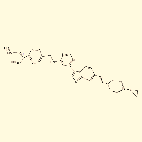 CN/C=C(\C=N)c1ccc(CNc2cc(-c3cnc4cc(OCC5CCN(C6CC6)CC5)ccn34)ncn2)cc1